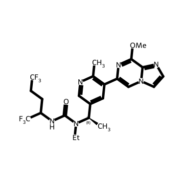 CCN(C(=O)NC(CCC(F)(F)F)C(F)(F)F)[C@H](C)c1cnc(C)c(-c2cn3ccnc3c(OC)n2)c1